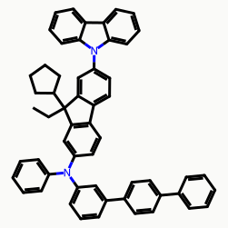 CCC1(C2CCCC2)c2cc(N(c3ccccc3)c3cccc(-c4ccc(-c5ccccc5)cc4)c3)ccc2-c2ccc(-n3c4ccccc4c4ccccc43)cc21